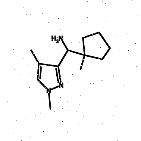 Cc1cn(C)nc1C(N)C1(C)CCCC1